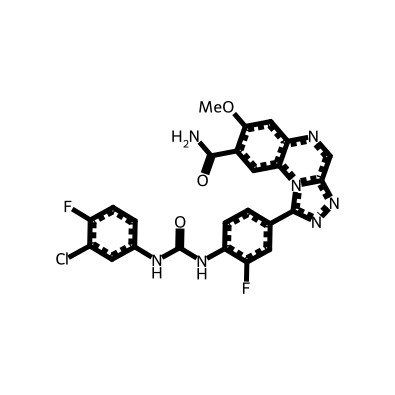 COc1cc2ncc3nnc(-c4ccc(NC(=O)Nc5ccc(F)c(Cl)c5)c(F)c4)n3c2cc1C(N)=O